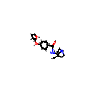 O=C(NC1CN2CC[C@H]1C2)c1ccc(Oc2ccco2)cc1